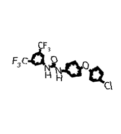 O=C(Nc1ccc(Oc2ccc(Cl)cc2)cc1)Nc1cc(C(F)(F)F)cc(C(F)(F)F)c1